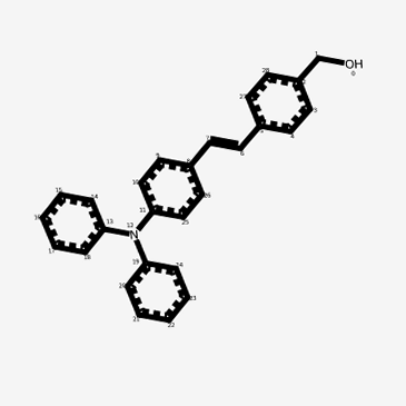 OCc1ccc(C=Cc2ccc(N(c3ccccc3)c3ccccc3)cc2)cc1